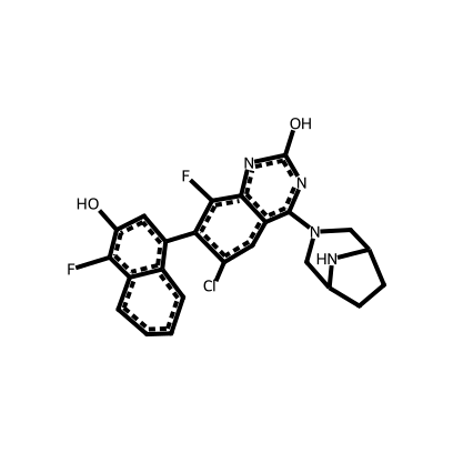 Oc1nc(N2CC3CCC(C2)N3)c2cc(Cl)c(-c3cc(O)c(F)c4ccccc34)c(F)c2n1